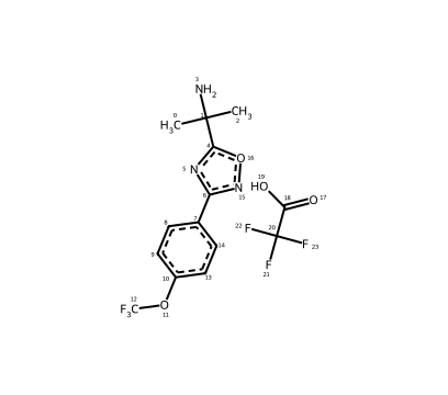 CC(C)(N)c1nc(-c2ccc(OC(F)(F)F)cc2)no1.O=C(O)C(F)(F)F